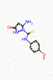 COc1ccc(NC(=S)n2[nH]c(=O)cc2N)cc1